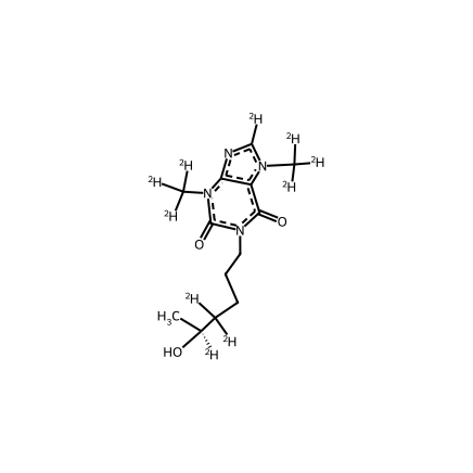 [2H]c1nc2c(c(=O)n(CCCC([2H])([2H])[C@]([2H])(C)O)c(=O)n2C([2H])([2H])[2H])n1C([2H])([2H])[2H]